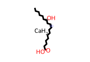 CCCCCC[C@@H](O)C/C=C\CCCCCCCC(=O)O.[CaH2]